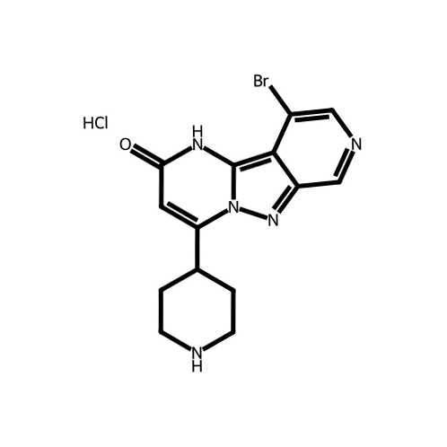 Cl.O=c1cc(C2CCNCC2)n2nc3cncc(Br)c3c2[nH]1